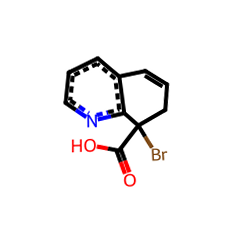 O=C(O)C1(Br)CC=Cc2cccnc21